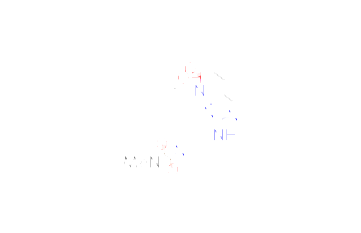 CNS(=O)(=O)N1CCC(Nc2ncc3ccc(=O)n(C4CCCC4(C)O)c3n2)CC1